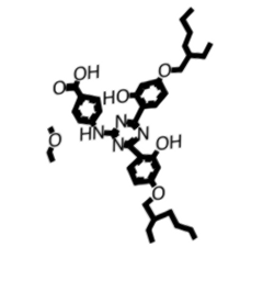 CCCCC(CC)COc1ccc(-c2nc(Nc3ccc(C(=O)O)cc3)nc(-c3ccc(OCC(CC)CCCC)cc3O)n2)c(O)c1.CCOC